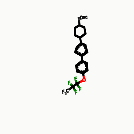 CCCCCCCCCCC1CCC(c2ccc(-c3ccc(OC(F)(F)C(F)(F)C(F)(F)F)cc3)cc2)CC1